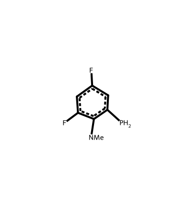 CNc1c(F)cc(F)cc1P